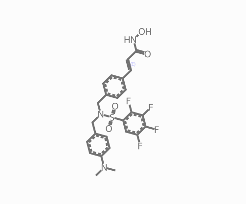 CN(C)c1ccc(CN(Cc2ccc(/C=C/C(=O)NO)cc2)S(=O)(=O)c2cc(F)c(F)c(F)c2F)cc1